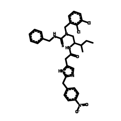 CCC(C)C(CN(Cc1cccc(Cl)c1Cl)C(=S)NCc1ccccc1)NC(=O)Cc1cnc(Cc2ccc([N+](=O)[O-])cc2)[nH]1